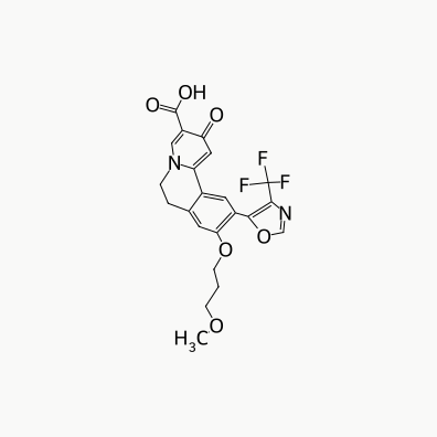 COCCCOc1cc2c(cc1-c1ocnc1C(F)(F)F)-c1cc(=O)c(C(=O)O)cn1CC2